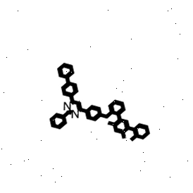 CC1=C(c2cc(-c3ccccc3Cc3ccc(-c4cc(-c5ccc(-c6ccccc6)cc5)nc(-c5ccccc5)n4)cc3)c(C)cc2C)C=CCC1